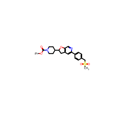 CC(C)OC(=O)N1CCC(C2Cc3cc(-c4ccc(CS(C)(=O)=O)cc4)ncc3O2)CC1